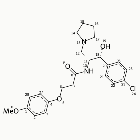 COc1ccc(OCCC(=O)N[C@H](CN2CCCC2)[C@H](O)c2ccc(Cl)cc2)cc1